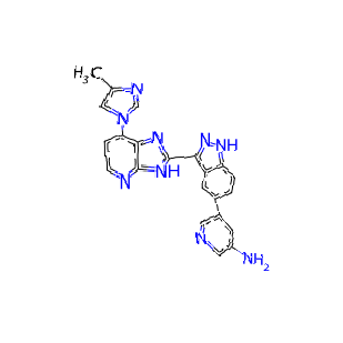 Cc1cn(-c2ccnc3[nH]c(-c4n[nH]c5ccc(-c6cncc(N)c6)cc45)nc23)cn1